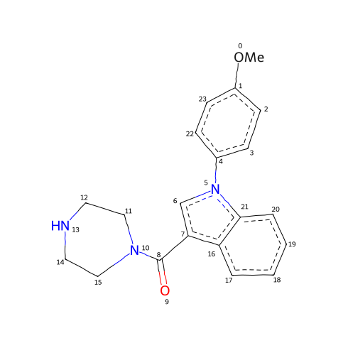 COc1ccc(-n2cc(C(=O)N3CCNCC3)c3ccccc32)cc1